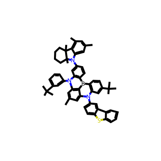 Cc1cc2c3c(c1)N(c1ccc4sc5ccccc5c4c1)c1cc(C(C)(C)C)ccc1B3c1ccc(N3c4cc(C)cc(C)c4C4(C)CCCCC34C)cc1N2c1cccc(C(C)(C)C)c1